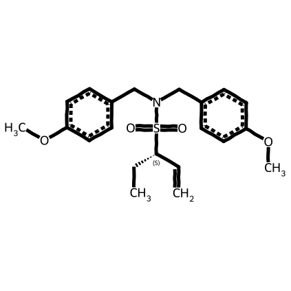 C=C[C@H](CC)S(=O)(=O)N(Cc1ccc(OC)cc1)Cc1ccc(OC)cc1